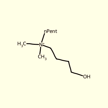 CCCCC[N+](C)(C)CCCCO